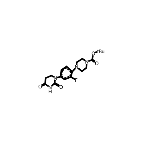 CC(C)(C)OC(=O)N1CCN(c2ccc(N3CCC(=O)NC3=O)cc2F)CC1